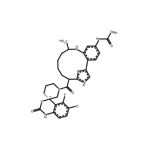 COC(=O)Nc1ccc2c(c1)NC(C(=O)O)CCCCC(C(=O)N1CCC[C@@]3(C1)OC(=O)Nc1ccc(Cl)c(F)c13)c1nc-2c[nH]1